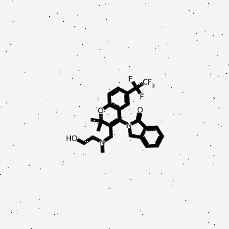 CN(CCO)CC1=C(N2Cc3ccccc3C2=O)c2cc(C(F)(F)C(F)(F)F)ccc2OC1(C)C